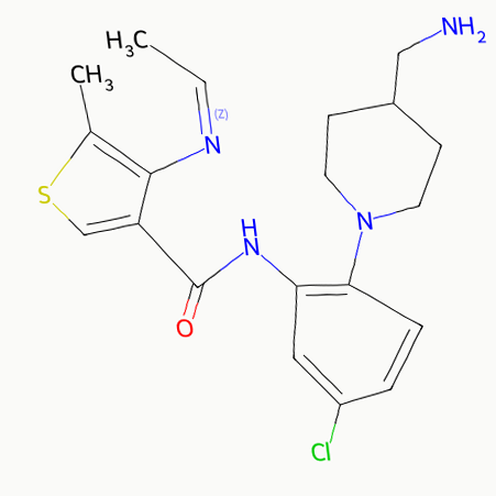 C/C=N\c1c(C(=O)Nc2cc(Cl)ccc2N2CCC(CN)CC2)csc1C